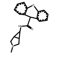 CN1CC2C(C1)C2NC(=O)C1c2ccccc2Oc2ccccc21